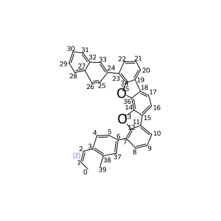 C/C=C\c1ccc(-c2cccc3c2oc2c3ccc3c4cccc(-c5ccc6ccccc6c5)c4oc32)cc1C